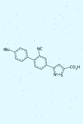 [C-]#[N+]c1cc(-c2cc(C(=O)O)sn2)ccc1-c1ccc(C(C)(C)C)cc1